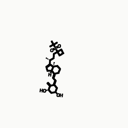 C=C1/C(=C\C=C2/CCC[C@]3(C)C([C@H](C)CCC4(S(=O)(=O)C(C)(C)C)CCC4)=CC[C@@H]23)C[C@@H](O)C[C@@H]1O